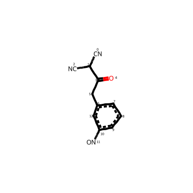 N#CC(C#N)C(=O)Cc1cccc(N=O)c1